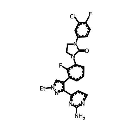 CCn1cc(-c2cccc(N3CCN(c4ccc(F)c(Cl)c4)C3=O)c2F)c(-c2ccnc(N)n2)n1